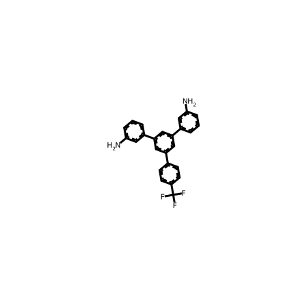 Nc1cccc(-c2cc(-c3ccc(C(F)(F)F)cc3)cc(-c3cccc(N)c3)c2)c1